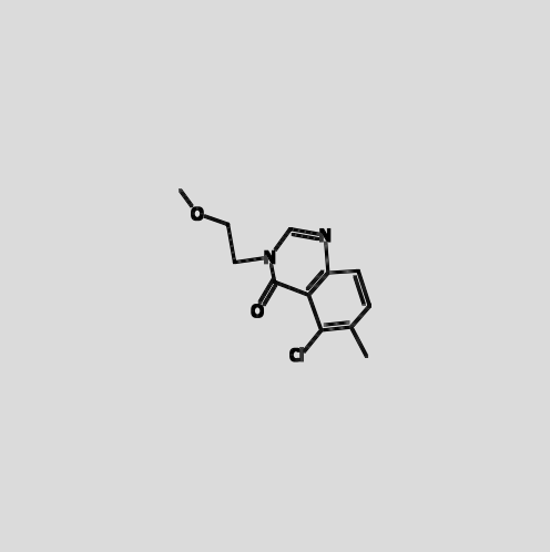 COCCn1cnc2ccc(C)c(Cl)c2c1=O